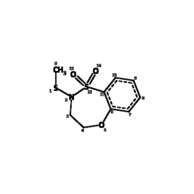 CSN1CCOc2ccccc2S1(=O)=O